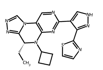 CC[C@@H]1c2nncn2-c2cnc(-c3c[nH]nc3-c3nccs3)nc2N1C1CCC1